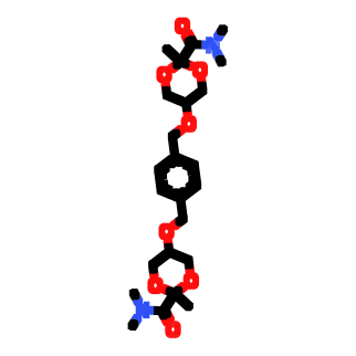 CN(C)C(=O)C1(C)OCC(OCc2ccc(COC3COC(C)(C(=O)N(C)C)OC3)cc2)CO1